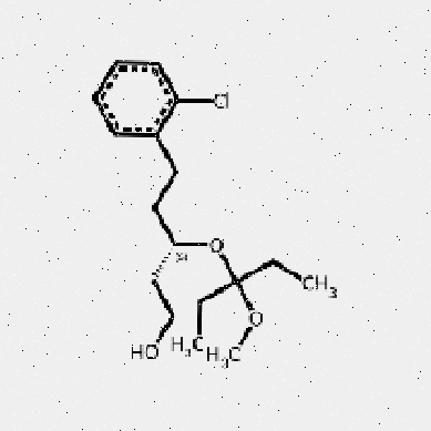 CCC(CC)(OC)O[C@H](CCO)CCc1ccccc1Cl